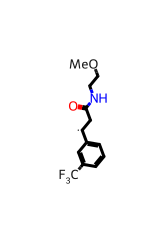 COCCNC(=O)C[CH]c1cccc(C(F)(F)F)c1